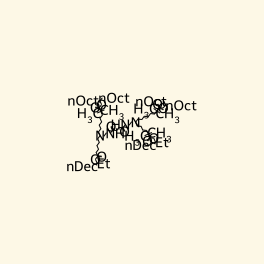 CCCCCCCCCCC(CC)OC(=O)CCCCCN(CCCCCCC(C)(C)C(=O)OC(CCCCCCCC)CCCCCCCC)CCNC(=O)CCC(=O)NCCN(CCCCCCC(C)(C)C(=O)OC(CCCCCCCC)CCCCCCCC)CCCCC(C)(C)C(=O)OC(CC)CCCCCCCCCC